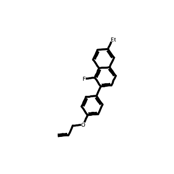 C=CCOc1ccc(-c2ccc3cc(CC)ccc3c2F)cc1